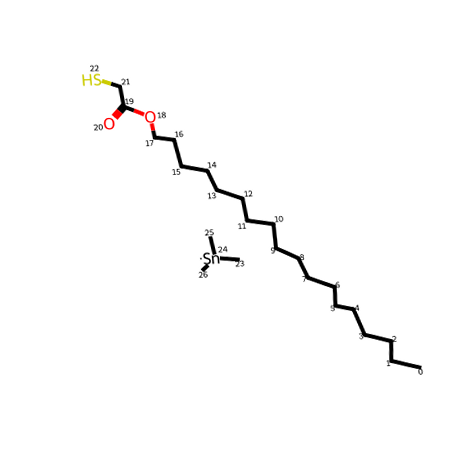 CCCCCCCCCCCCCCCCCCOC(=O)CS.[CH3][Sn]([CH3])[CH3]